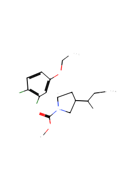 CCOC(=O)C(COC)C1C[C@@H](c2c(OCOC)ccc(Cl)c2Cl)N(C(=O)OC(C)(C)C)C1